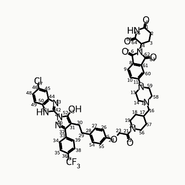 O=C1CCC(N2C(=O)c3ccc(N4CCN(CC5CCN(C(=O)COc6ccc(CCc7c(-c8ccc(C(F)(F)F)cc8)nn(-c8nc9cc(Cl)ccc9[nH]8)c7O)cc6)CC5)CC4)cc3C2=O)C(=O)N1